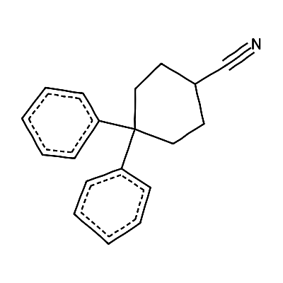 N#CC1CCC(c2ccccc2)(c2ccccc2)CC1